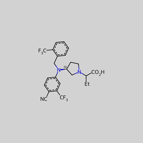 CCC(C(=O)O)N1CC[C@H](N(Cc2ccccc2C(F)(F)F)c2ccc(C#N)c(C(F)(F)F)c2)C1